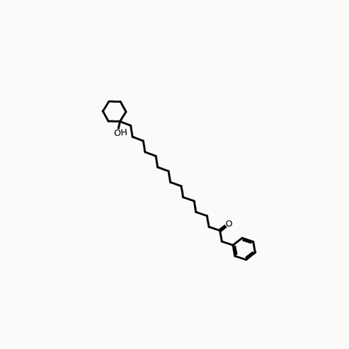 O=C(CCCCCCCCCCCCCCC1(O)CCCCC1)Cc1ccccc1